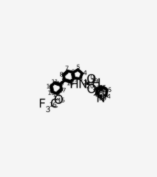 O=C(NC1CCc2ccc(-c3cccc(OC(F)(F)F)c3)cc21)O[C@H]1CN2CCC1CC2